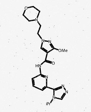 COc1nn(CCN2CCOCC2)cc1C(=O)Nc1cccc(-c2nncn2C(C)C)n1